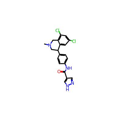 CN1Cc2c(Cl)cc(Cl)cc2C(c2ccc(NC(=O)c3cn[nH]c3)cc2)C1